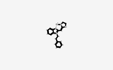 CCN1CCSC1=Cc1sc2ccccc2[n+]1CCc1ccccc1